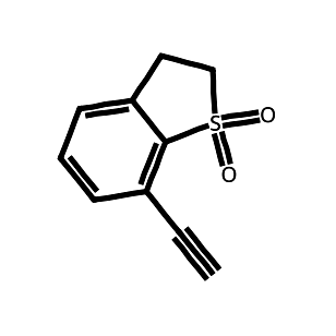 C#Cc1cccc2c1S(=O)(=O)CC2